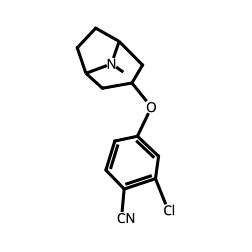 CN1C2CCC1CC(Oc1ccc(C#N)c(Cl)c1)C2